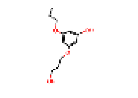 CCCOc1cc(O)cc(OCCCO)c1